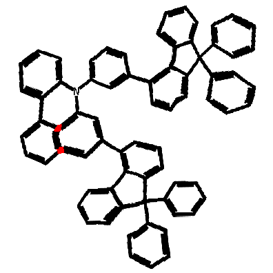 c1ccc(-c2ccccc2N(c2cccc(-c3cccc4c3-c3ccccc3C4(c3ccccc3)c3ccccc3)c2)c2cccc(-c3cccc4c3-c3ccccc3C4(c3ccccc3)c3ccccc3)c2)cc1